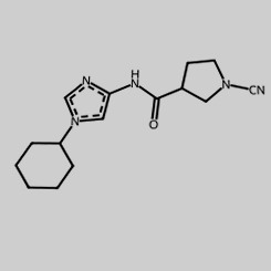 N#CN1CCC(C(=O)Nc2cn(C3CCCCC3)cn2)C1